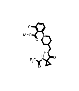 COC(=O)c1c(Cl)cccc1N1CCC(CNC(=O)C2(NC(=O)C(F)(F)F)CC2)CC1